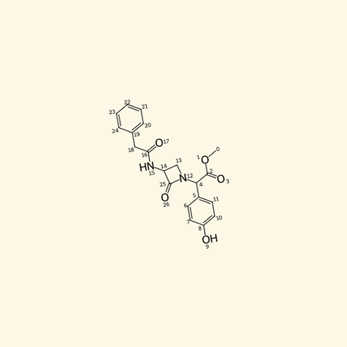 COC(=O)C(c1ccc(O)cc1)N1CC(NC(=O)Cc2ccccc2)C1=O